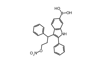 O=[N+]([O-])OCCC(c1ccccc1)c1c(-c2ccccc2)[nH]c2cc(B(O)O)ccc12